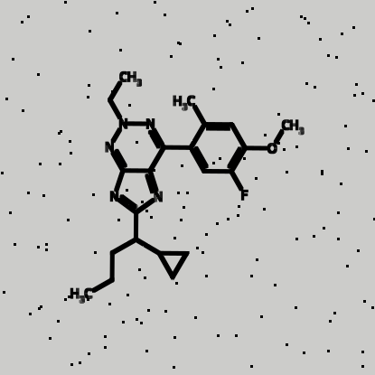 CCCC(c1nc2nn(CC)nc(-c3cc(F)c(OC)cc3C)c-2n1)C1CC1